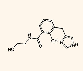 O=C(NCCO)c1cccc(Cc2c[nH]cn2)c1O